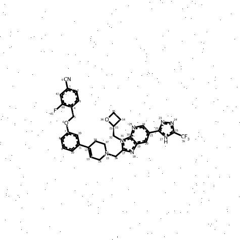 N#Cc1ccc(COc2cccc(C3=CCN(Cc4nc5cc(-c6nnc(C(F)(F)F)[nH]6)cnc5n4C[C@@H]4CCO4)CC3)c2)c(F)c1